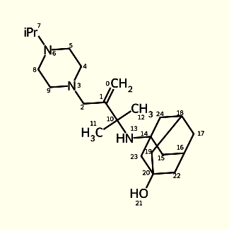 C=C(CN1CCN(C(C)C)CC1)C(C)(C)NC12CC3CC(CC(O)(C3)C1)C2